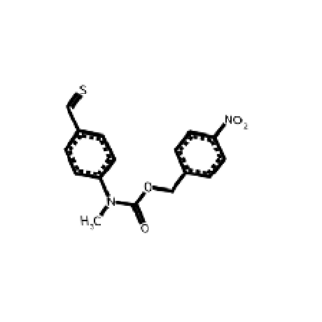 CN(C(=O)OCc1ccc([N+](=O)[O-])cc1)c1ccc(C=S)cc1